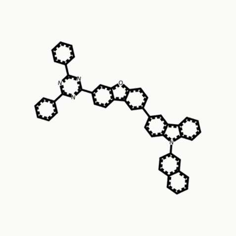 c1ccc(-c2nc(-c3ccccc3)nc(-c3ccc4c(c3)oc3ccc(-c5ccc6c(c5)c5ccccc5n6-c5ccc6ccccc6c5)cc34)n2)cc1